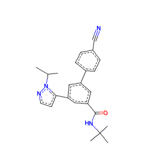 CC(C)n1nccc1-c1cc(C(=O)NC(C)(C)C)cc(-c2ccc(C#N)cc2)c1